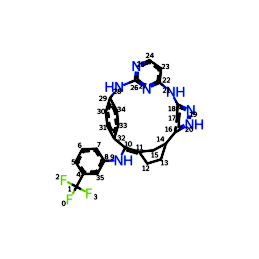 FC(F)(F)c1cccc(N/C2=C3\CCC(C3)c3cc(n[nH]3)Nc3ccnc(n3)Nc3ccc2cc3)c1